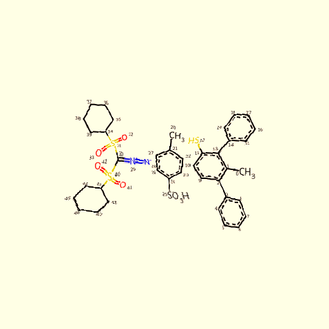 Cc1c(-c2ccccc2)ccc(S)c1-c1ccccc1.Cc1ccc(S(=O)(=O)O)cc1.[N-]=[N+]=C(S(=O)(=O)C1CCCCC1)S(=O)(=O)C1CCCCC1